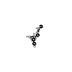 O=C(O)CC(NC(=O)c1cccc(OCCCNc2ccccn2)c1)c1ccc(-c2ccc(Cl)cc2)cc1